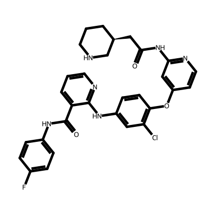 O=C(C[C@@H]1CCCNC1)Nc1cc(Oc2ccc(Nc3ncccc3C(=O)Nc3ccc(F)cc3)cc2Cl)ccn1